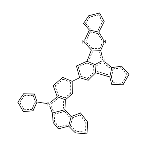 c1ccc(-n2c3ccc(-c4cc5c6ccccc6n6c7nc8ccccc8nc7c(c4)c56)cc3c3c4ccccc4ccc32)cc1